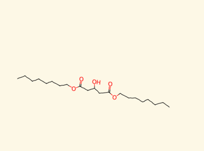 CCCCCCCCOC(=O)CC(O)CC(=O)OCCCCCCCC